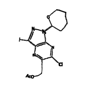 CC(=O)OCc1nc2c(I)nn(C3CCCCO3)c2nc1Cl